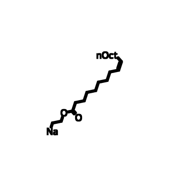 CCCCCCCC/C=C\CCCCCCCC(=O)OC[CH2][Na]